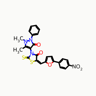 Cc1c(N2C(=O)C(=Cc3ccc(-c4ccc([N+](=O)[O-])cc4)o3)SC2=S)c(=O)n(-c2ccccc2)n1C